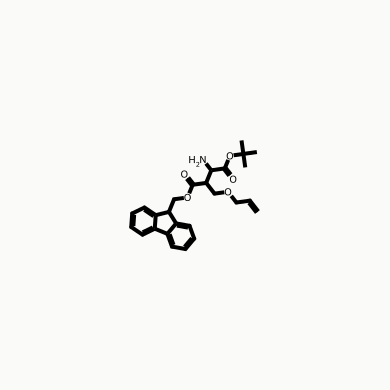 C=CCOCC(C(=O)OCC1c2ccccc2-c2ccccc21)C(N)C(=O)OC(C)(C)C